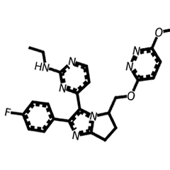 CCNc1nccc(-c2c(-c3ccc(F)cc3)nc3n2C(COc2ccc(OC)nn2)CC3)n1